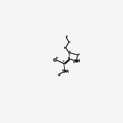 CCCC1CN/C1=C(/Cl)PC